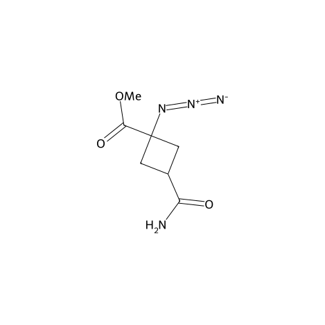 COC(=O)C1(N=[N+]=[N-])CC(C(N)=O)C1